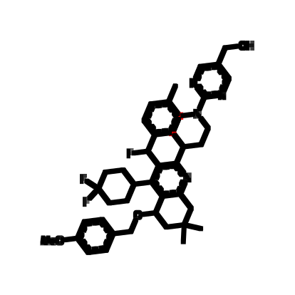 COc1ccc(COC2CC(C)(C)Cc3nc(C4CCN(c5ncc(CO)cn5)CC4)c(C(F)c4ccc(C)cc4)c(C4CCC(F)(F)CC4)c32)cc1